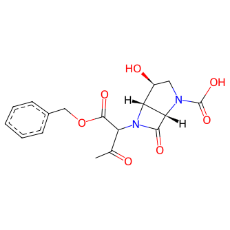 CC(=O)C(C(=O)OCc1ccccc1)N1C(=O)[C@@H]2[C@H]1[C@@H](O)CN2C(=O)O